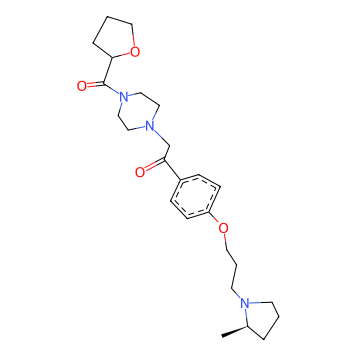 C[C@@H]1CCCN1CCCOc1ccc(C(=O)CN2CCN(C(=O)C3CCCO3)CC2)cc1